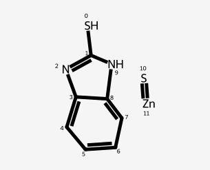 Sc1nc2ccccc2[nH]1.[S]=[Zn]